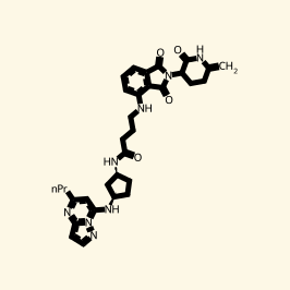 C=C1CCC(N2C(=O)c3cccc(NCCCC(=O)N[C@@H]4CC[C@@H](Nc5cc(CCC)nc6ccnn56)C4)c3C2=O)C(=O)N1